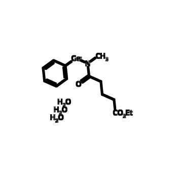 CCOC(=O)CCCC(=O)[N](C)[Ge][c]1ccccc1.O.O.O